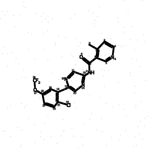 Cc1ccncc1C(=O)Nc1cnc(-c2cc(OC(F)(F)F)ccc2Cl)cn1